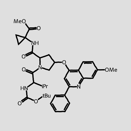 COC(=O)C1(NC(=O)C2CC(Oc3cc(-c4ccccc4)nc4cc(OC)ccc34)CN2C(=O)C(NC(=O)OC(C)(C)C)C(C)C)CC1